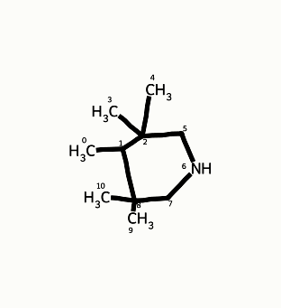 CC1C(C)(C)CNCC1(C)C